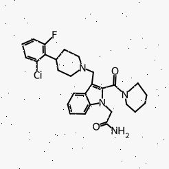 NC(=O)Cn1c(C(=O)N2CCCCC2)c(CN2CCC(c3c(F)cccc3Cl)CC2)c2ccccc21